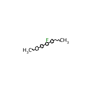 C/C=C/C1CCC(c2ccc(-c3ccc(-c4ccc(CCCCC)cc4)c(F)c3)cc2)CC1